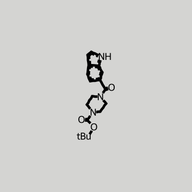 CC(C)(C)OC(=O)N1CCN(C(=O)c2ccc3cc[nH]c3c2)CC1